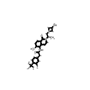 Cc1ccc2c(=O)n([C@H](C)CN3CC(O)C3)ccc2c1NC(=O)Cc1ccc(C(F)(F)F)c(F)c1